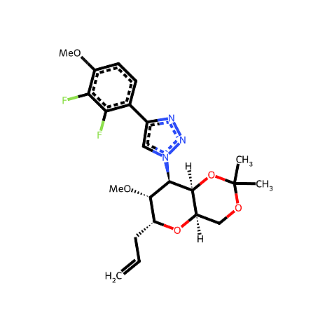 C=CC[C@H]1O[C@@H]2COC(C)(C)O[C@@H]2[C@H](n2cc(-c3ccc(OC)c(F)c3F)nn2)[C@H]1OC